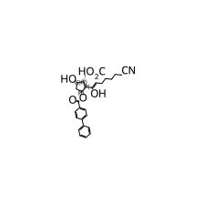 N#CCCCCCC=C(O)[C@@H]1[C@@H](CC(=O)O)[C@@H](O)C[C@H]1OC(=O)c1ccc(-c2ccccc2)cc1